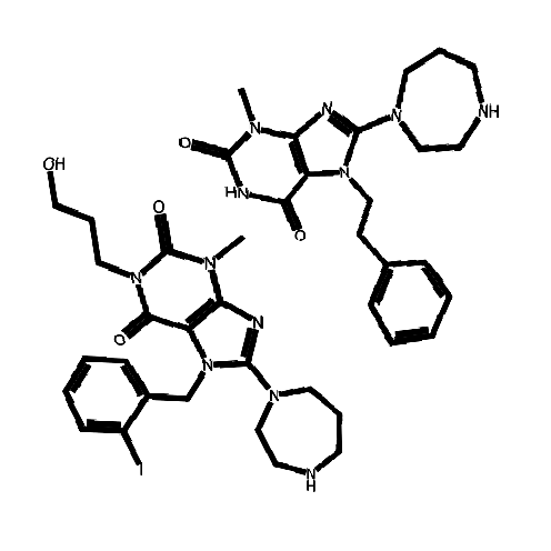 Cn1c(=O)[nH]c(=O)c2c1nc(N1CCCNCC1)n2CCc1ccccc1.Cn1c(=O)n(CCCO)c(=O)c2c1nc(N1CCCNCC1)n2Cc1ccccc1I